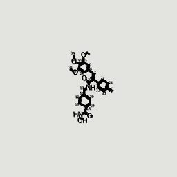 COc1cc(C=C(C(=O)NCc2ccc(C(=O)NO)cc2)c2ccc(F)cc2)cc(OC)c1OC